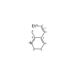 CC/C=C\C1=CCCN=C1C